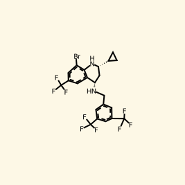 FC(F)(F)c1cc(CN[C@H]2C[C@@H](C3CC3)Nc3c(Br)cc(C(F)(F)F)cc32)cc(C(F)(F)F)c1